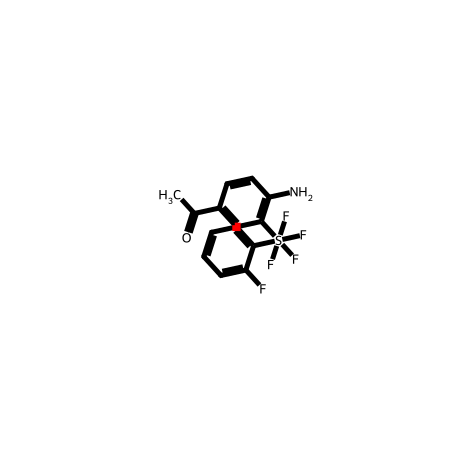 CC(=O)c1ccc(N)c(S(F)(F)(F)(F)c2ccccc2F)c1